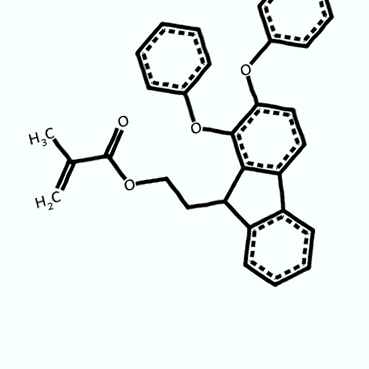 C=C(C)C(=O)OCCC1c2ccccc2-c2ccc(Oc3ccccc3)c(Oc3ccccc3)c21